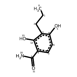 CCCc1c(O)ccc(C(N)=O)c1O